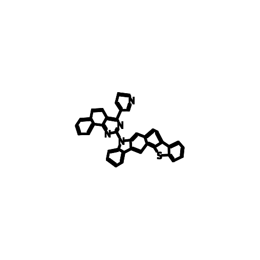 c1cncc(-c2nc(-n3c4ccccc4c4cc5c(ccc6c7ccccc7sc56)cc43)nc3c2ccc2ccccc23)c1